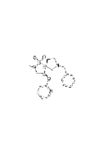 CN1C[C@H](Oc2ccccn2)[C@]2(CCN(Cc3ccccc3)C2)S1(=O)=O